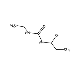 CCNC(=O)NC([O])CC